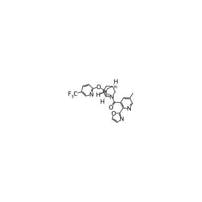 Cc1cnc(-c2ncco2)c(C(=O)N2C[C@@H]3CC[C@H]2[C@H](Oc2ccc(C(F)(F)F)cn2)C3)c1